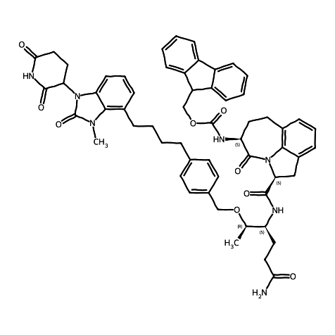 C[C@@H](OCc1ccc(CCCCc2cccc3c2n(C)c(=O)n3C2CCC(=O)NC2=O)cc1)[C@H](CCC(N)=O)NC(=O)[C@@H]1Cc2cccc3c2N1C(=O)[C@@H](NC(=O)OCC1c2ccccc2-c2ccccc21)CC3